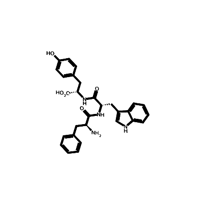 N[C@@H](Cc1ccccc1)C(=O)N[C@@H](Cc1c[nH]c2ccccc12)C(=O)N[C@@H](Cc1ccc(O)cc1)C(=O)O